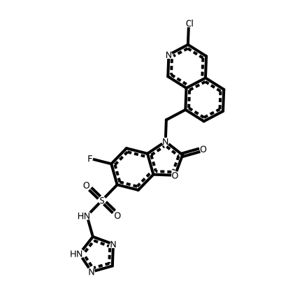 O=c1oc2cc(S(=O)(=O)Nc3ncn[nH]3)c(F)cc2n1Cc1cccc2cc(Cl)ncc12